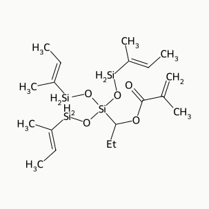 C=C(C)C(=O)OC(CC)[Si](O[SiH2]C(C)=CC)(O[SiH2]C(C)=CC)O[SiH2]C(C)=CC